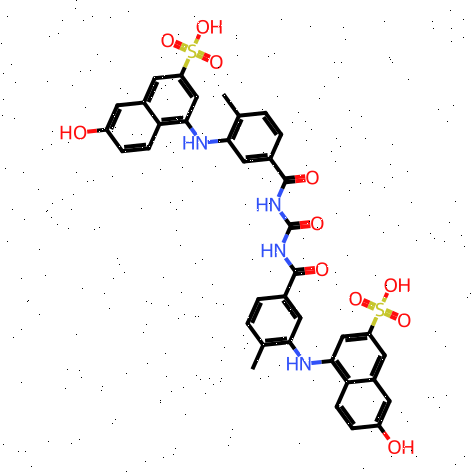 Cc1ccc(C(=O)NC(=O)NC(=O)c2ccc(C)c(Nc3cc(S(=O)(=O)O)cc4cc(O)ccc34)c2)cc1Nc1cc(S(=O)(=O)O)cc2cc(O)ccc12